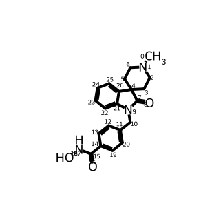 CN1CCC2(CC1)C(=O)N(Cc1ccc(C(=O)NO)cc1)c1ccccc12